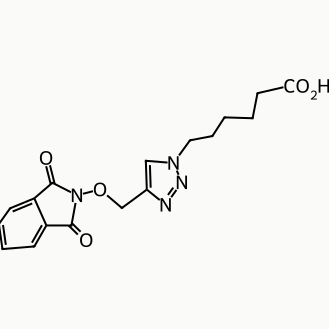 O=C(O)CCCCCn1cc(CON2C(=O)c3ccccc3C2=O)nn1